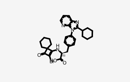 O=C(O)[C@H](Cc1ccc(-n2c(C3CCCCC3)nc3cccnc32)cc1)NC1=C(Br)C(=O)C12CCCCC2